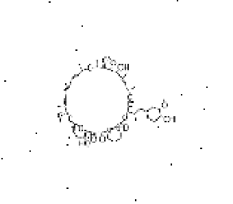 CO[C@H]1C[C@@H]2CC[C@@H](O)[C@@](O)(O2)C(=O)C(=O)N2CCCC[C@H]2C(=O)O[C@H]([C@H](C)C[C@@H]2CC[C@@H](O)[C@H](OC)C2)CC[C@H](C)/C=C(\C)[C@@H](O)[C@@H](OC)C(=O)[C@H](C)C[C@H](C)/C=C/C=C/C=C/1C